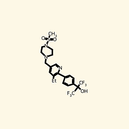 CCc1cc(CN2CCN(S(C)(=O)=O)CC2)cnc1-c1ccc(C(O)(C(F)(F)F)C(F)(F)F)cc1